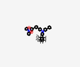 [2H]c1c([2H])c([2H])c(-c2ccc(N(c3ccc(-c4ccccc4)cc3)c3ccc(-c4cccc(-c5cc6c7c(c5)Oc5ccccc5N7c5ccccc5O6)c4)cc3)cc2)c([2H])c1[2H]